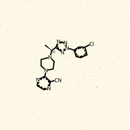 C[C@@H](c1nnn(-c2cccc(Cl)c2)n1)N1CCN(c2nccnc2C#N)CC1